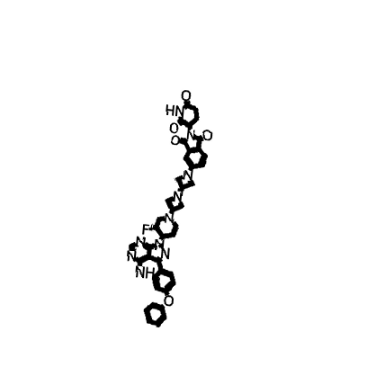 Nc1ncnc2c1c(-c1ccc(Oc3ccccc3)cc1)nn2C1CCN(C2CN(C3CN(c4ccc5c(c4)C(=O)N(C4CCC(=O)NC4=O)C5=O)C3)C2)C[C@@H]1F